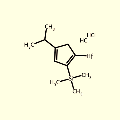 CC(C)C1=CC([Si](C)(C)C)=[C]([Hf])C1.Cl.Cl